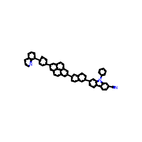 N#Cc1ccc2c3ccc(-c4ccc5cc(-c6cc7ccc8cc(-c9ccc(-c%10cccc%11cccnc%10%11)cc9)cc9ccc(c6)c7c89)ccc5c4)cc3n(-c3ccccc3)c2c1